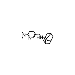 CN(C)c1ccc(CNC23CC4CC(CC(C4)C2)C3)cn1